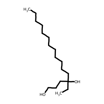 CCCCCCCCCCCCC(O)(CC)CCCO